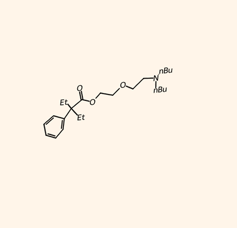 CCCCN(CCCC)CCOCCOC(=O)C(CC)(CC)c1ccccc1